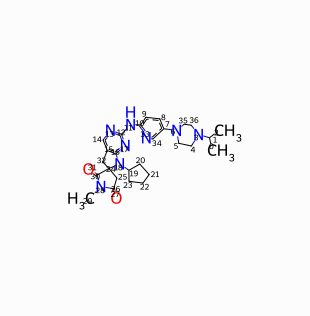 CC(C)N1CCN(c2ccc(Nc3ncc4c(n3)N(C3CCCC3)C3(CC(=O)N(C)C3=O)C4)nc2)CC1